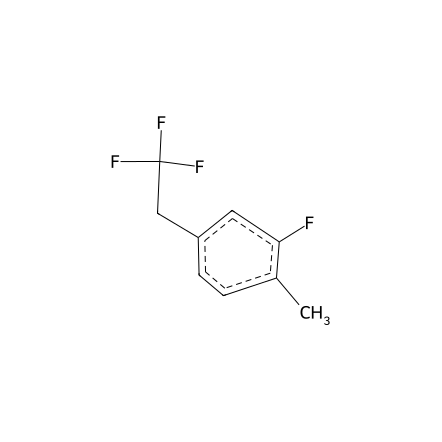 Cc1ccc(CC(F)(F)F)cc1F